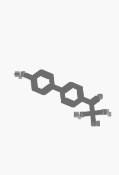 [CH2]c1ccc(-c2ccc(C(=O)C(C)(C)O)cc2)cc1